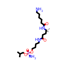 CC(C)COP(N)(=O)OCCCCNC(=O)CC[C@@H](C)NC(=O)CCCCCN